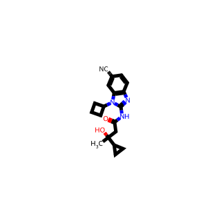 CC(O)(CC(=O)Nc1nc2ccc(C#N)cc2n1C1CCC1)C1CC1